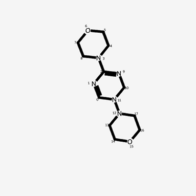 C1=NC(N2CCOCC2)=NCN1N1CCOCC1